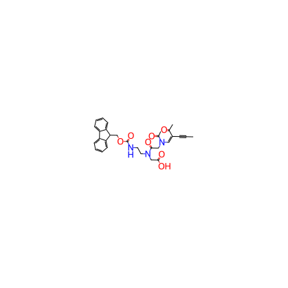 CC#C/C(=C/N(CC(=O)N(CCNC(=O)OCC1c2ccccc2-c2ccccc21)CC(=O)O)C(C)=O)C(C)=O